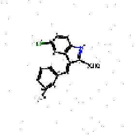 O=CC1=Nc2ccc(Cl)cc2C1=Cc1cccc(C(F)(F)F)c1